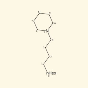 [CH2]CCCCCCCCCN1CCCCC1